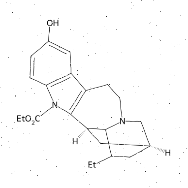 CCOC(=O)n1c2c(c3cc(O)ccc31)CCN1C[C@H]3CC(CC)C1[C@H]2C3